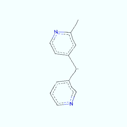 Cc1cc([CH]c2cccnc2)ccn1